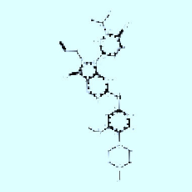 C=CCn1c(=O)c2cnc(Nc3cc(OC)c(N4CCN(C)CC4)cn3)nc2n1-c1ccc(=O)n(C(C)C)n1